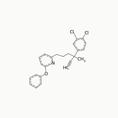 C#CC(C)(CCCc1cccc(Oc2ccccc2)n1)c1ccc(Cl)c(Cl)c1